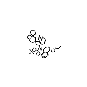 CCCO[C@H]1CC[C@H](N(CC[C@@]2(c3ccccn3)CCOC3(CCCC3)C2)C(=O)OC(C)(C)C)c2ccccc21